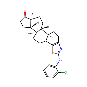 C[C@]12CCc3nc(Nc4ccccc4Cl)sc3C1CC[C@@H]1[C@@H]2CC[C@]2(C)C(=O)CC[C@@H]12